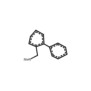 CNCc1ccccc1-c1ccccc1